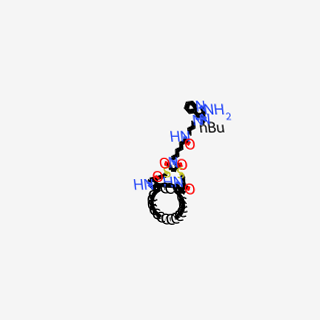 CCCCc1nc2c(N)nc3ccccc3c2n1CCCCNC(=O)CCCCCN1C(=O)C2SCC3NC45C6CCC7C(CCCCCCCCCCCCCCC6C4(C)C3=O)C3NC(CSC2C1=O)C(=O)C735